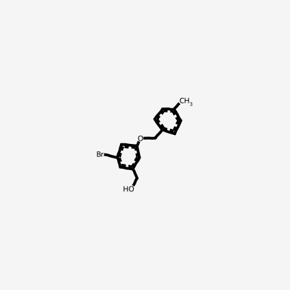 Cc1ccc(COc2cc(Br)cc(CO)c2)cc1